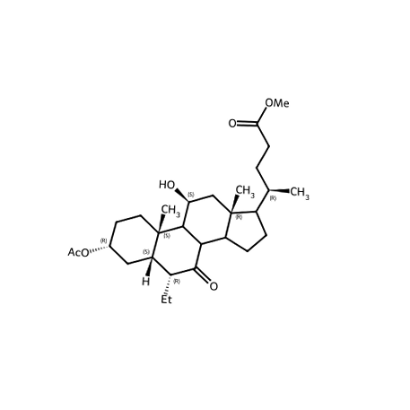 CC[C@H]1C(=O)C2C3CCC([C@H](C)CCC(=O)OC)[C@@]3(C)C[C@H](O)C2[C@@]2(C)CC[C@@H](OC(C)=O)C[C@@H]12